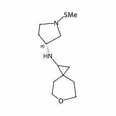 CSN1CC[C@@H](NC2CC23CCOCC3)C1